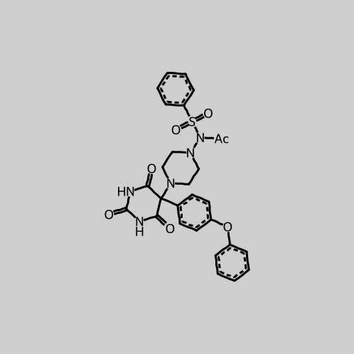 [CH2]C(=O)N(N1CCN(C2(c3ccc(Oc4ccccc4)cc3)C(=O)NC(=O)NC2=O)CC1)S(=O)(=O)c1ccccc1